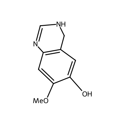 COc1cc2c(cc1O)CNC=N2